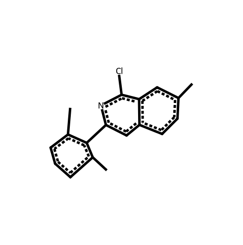 Cc1ccc2cc(-c3c(C)cccc3C)nc(Cl)c2c1